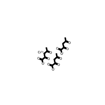 CC(=O)CC(=O)C(=O)[O-].CC(=O)CC(=O)C(=O)[O-].CC(=O)CC(=O)C(=O)[O-].[Cr+3]